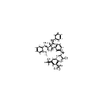 CCC(Oc1ccc(C(C)(C)CC)cc1C(C)(C)CC)C(=O)Nc1cccc(C(=O)C(OC)(C(=O)Nc2ccccc2)/[N+]([O-])=N/c2ccccc2N)c1